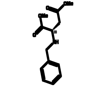 COC(=O)C[C@H](NCc1ccccc1)C(=O)OC